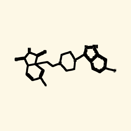 CC1=CC2(CCN3CCN(c4n[nH]c5cc(F)ccc45)CC3)C(=O)NC(=O)C2C=C1